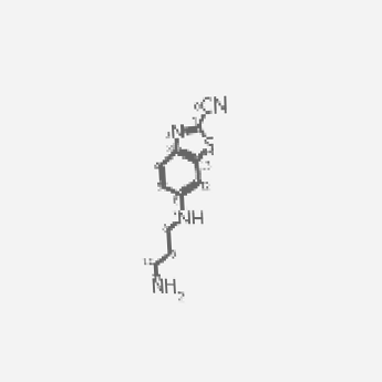 N#Cc1nc2ccc(NCCCN)cc2s1